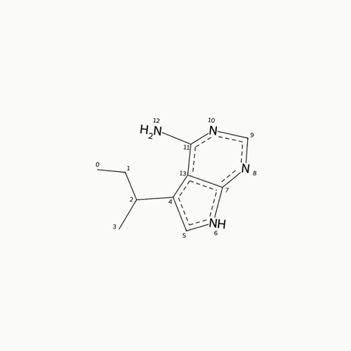 CCC(C)c1c[nH]c2ncnc(N)c12